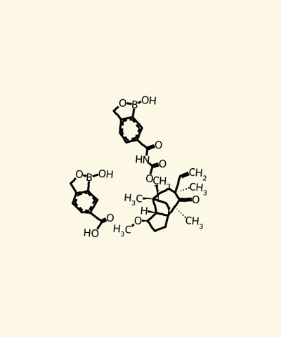 C=C[C@]1(C)C[C@@H](OC(=O)NC(=O)c2ccc3c(c2)B(O)OC3)[C@]2(C)[C@H](C)CC[C@]3(CC[C@@H](OC)[C@@H]32)[C@@H](C)C1=O.O=C(O)c1ccc2c(c1)B(O)OC2